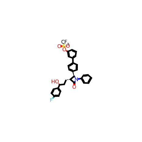 O=C1[C@H](CC[C@H](O)c2ccc(F)cc2)[C@@H](c2ccc(-c3cccc(OS(=O)(=O)C(F)(F)F)c3)cc2)N1c1ccccc1